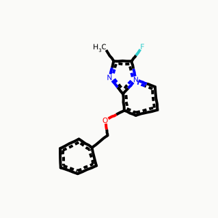 Cc1nc2c(OCc3ccccc3)cccn2c1F